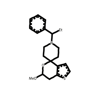 CCC(c1ccccc1)N1CCC2(CC1)OC(OC)Cc1sccc12